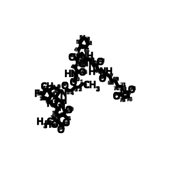 CCCC(CC(=O)N[C@H]1CCc2c(C)c(F)cc3nc4c(c1c23)Cn1c-4cc2c(c1=O)COC(=O)[C@]2(O)CC)OCNC(=O)CNC(=O)[C@H](Cc1ccccc1)NC(=O)CNC(=O)CNC(=O)CCCCCN1C(=O)C=CC1=O